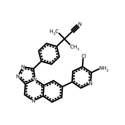 CC(C)(C#N)c1ccc(-c2nnc3cnc4ccc(-c5cnc(N)c(Cl)c5)cc4n23)cc1